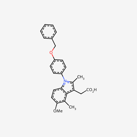 COc1ccc2c(c1C)c(CC(=O)O)c(C)n2-c1ccc(OCc2ccccc2)cc1